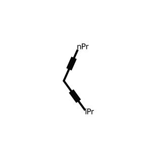 [CH2]C(C)C#CCC#CCCC